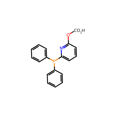 O=C(O)Oc1cccc(P(c2ccccc2)c2ccccc2)n1